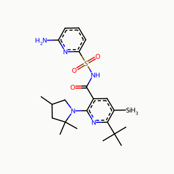 CC1CN(c2nc(C(C)(C)C)c([SiH3])cc2C(=O)NS(=O)(=O)c2cccc(N)n2)C(C)(C)C1